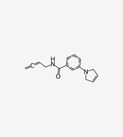 C=C=CCNC(=O)c1cccc(N2CC=CC2)c1